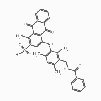 Cc1cc(C)c(Nc2cc(S(=O)(=O)O)c(N)c3c2C(=O)c2ccccc2C3=O)c(C)c1CNC(=O)c1ccccc1